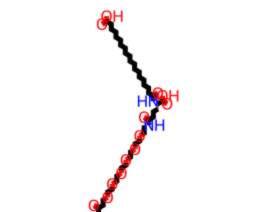 CC(=O)CCOCCOCCOCCOCCOCCOCCNC(=O)CCC[C@H](NC(=O)CCCCCCCCCCCCCCCCCCC(=O)O)C(=O)O